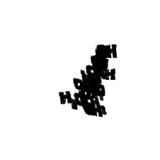 CC(C)C(NC(=O)OCC(C)(C)CO)C(=O)NCC(=O)Nc1ccc(CO)cc1